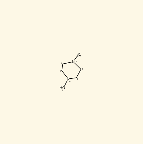 CC(C)N1CCN(O)CC1